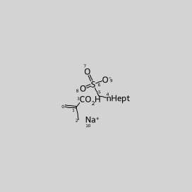 C=C(C)C(=O)O.CCCCCCCCS(=O)(=O)[O-].[Na+]